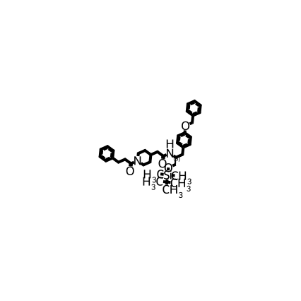 CC(C)(C)[Si](C)(C)OC[C@H](Cc1ccc(OCc2ccccc2)cc1)NC(=O)CC1CCN(C(=O)CCc2ccccc2)CC1